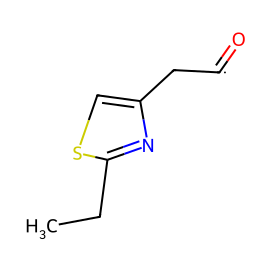 CCc1nc(C[C]=O)cs1